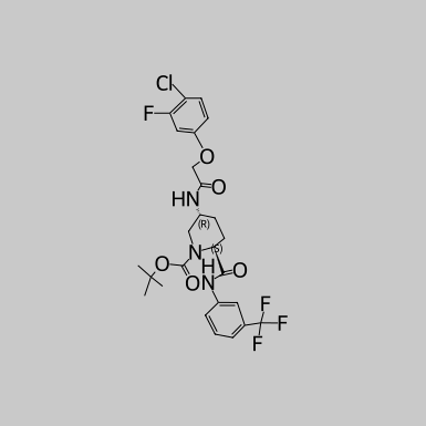 CC(C)(C)OC(=O)N1C[C@H](NC(=O)COc2ccc(Cl)c(F)c2)CC[C@H]1C(=O)Nc1cccc(C(F)(F)F)c1